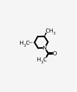 CC(=O)N1C[C@H](C)C[C@@H](C)C1